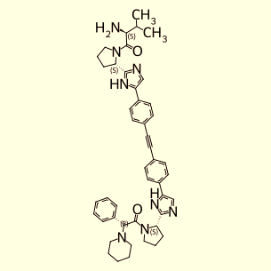 CC(C)[C@H](N)C(=O)N1CCC[C@H]1c1ncc(-c2ccc(C#Cc3ccc(-c4cnc([C@@H]5CCCN5C(=O)[C@@H](c5ccccc5)N5CCCCC5)[nH]4)cc3)cc2)[nH]1